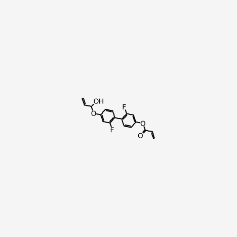 C=CC(=O)Oc1ccc(-c2ccc(OC(O)C=C)cc2F)c(F)c1